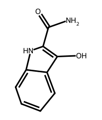 NC(=O)c1[nH]c2ccccc2c1O